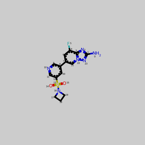 Nc1nc2c(F)cc(-c3cncc(S(=O)(=O)N4CCC4)c3)cn2n1